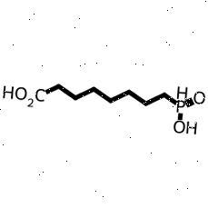 O=C(O)CCCCCCC[PH](=O)O